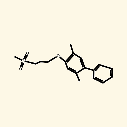 Cc1cc(-c2[c]cccc2)c(C)cc1OCCCS(C)(=O)=O